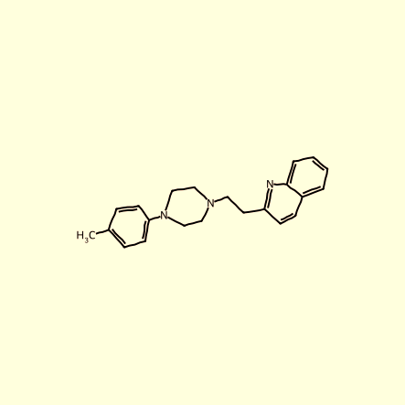 Cc1ccc(N2CCN(CCc3ccc4ccccc4n3)CC2)cc1